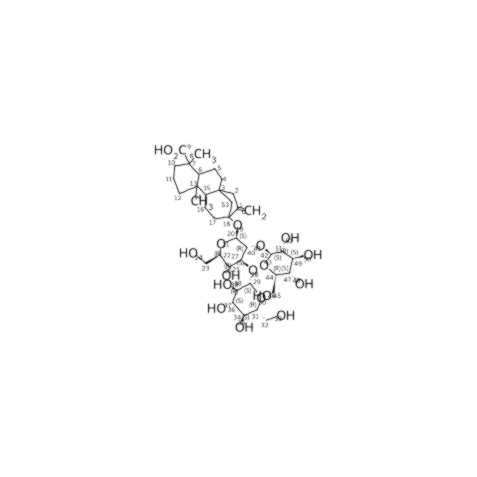 C=C1CC23CCC4C(C)(C(=O)O)CCCC4(C)C2CCC1(O[C@@H]1O[C@H](CO)[C@@H](O)[C@H](O[C@@H]2O[C@H](CO)[C@@H](O)[C@H](O)[C@H]2O)[C@H]1O[C@@H]1O[C@H](CO)[C@@H](O)[C@H](O)[C@H]1O)C3